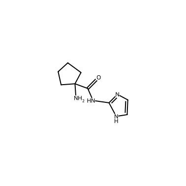 NC1(C(=O)Nc2ncc[nH]2)CCCC1